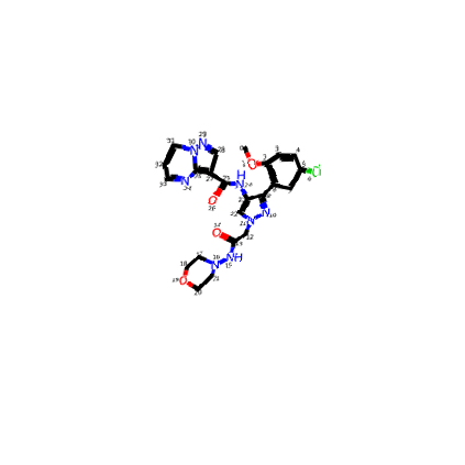 COc1ccc(Cl)cc1-c1nn(CC(=O)NN2CCOCC2)cc1NC(=O)c1cnn2cccnc12